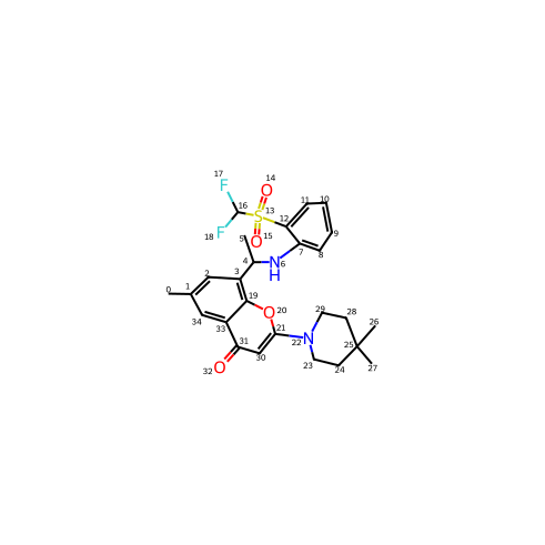 Cc1cc(C(C)Nc2ccccc2S(=O)(=O)C(F)F)c2oc(N3CCC(C)(C)CC3)cc(=O)c2c1